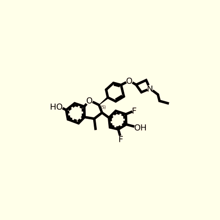 CCCN1CC(OC2=CCC([C@@H]3Oc4cc(O)ccc4C(C)C3c3cc(F)c(O)c(F)c3)C=C2)C1